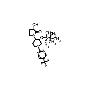 CC(C)(C)[Si](C)(C)O[C@@H]1CN(c2ncc(C(F)(F)F)cn2)CCC1N1CC[C@H](O)C1=O